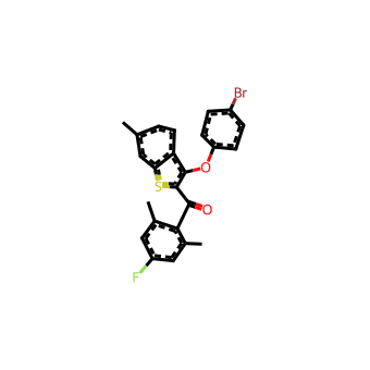 Cc1ccc2c(Oc3ccc(Br)cc3)c(C(=O)c3c(C)cc(F)cc3C)sc2c1